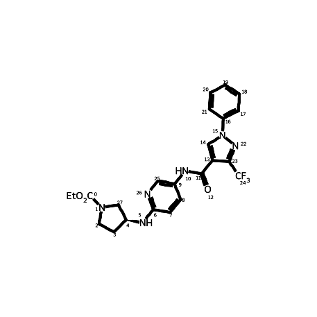 CCOC(=O)N1CC[C@H](Nc2ccc(NC(=O)c3cn(-c4ccccc4)nc3C(F)(F)F)cn2)C1